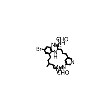 CNc1cncc(CCCC(CNC=O)Nc2c(N)cc(Br)cc2CCC(C)CCNC=O)c1